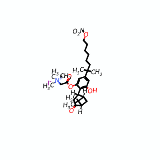 CC(C)(CCCCCCO[N+](=O)[O-])c1cc(O)c([C@H]2CC(=O)[C@H]3C[C@@H]2C3(C)C)c(OC(=O)C[N+](C)(C)C)c1.[I-]